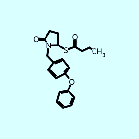 CCCC(=O)SC1CCC(=O)N1Cc1ccc(Oc2ccccc2)cc1